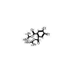 CCCCC(OC(=O)c1cc(CC)c(CC)cc1C(=O)OC(CCCC)C(C)C)C(C)C